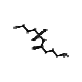 CCCCC(=O)OS(=O)(=O)CCCF